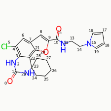 O=C1Nc2c(Cl)cc3cc(C(=O)NCCn4cccc4)oc3c2C2(CCCCC2)N1